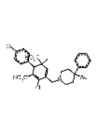 CC(=O)C1(c2ccccc2)CCN(CC2=CC(C)(C(=O)O)C(c3ccc(Cl)cc3)C(C(=O)O)=C2Cl)CC1